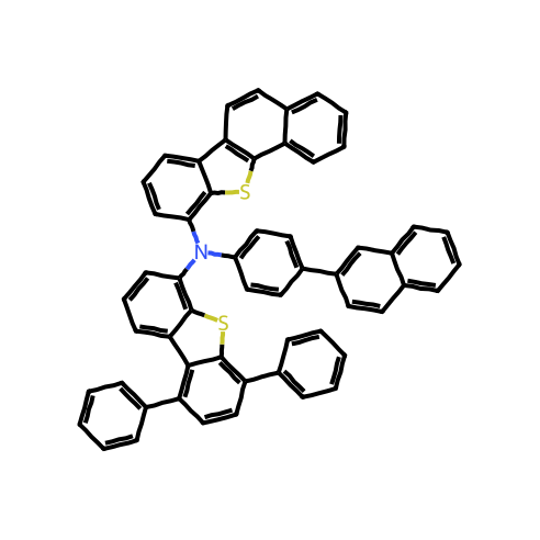 c1ccc(-c2ccc(-c3ccccc3)c3c2sc2c(N(c4ccc(-c5ccc6ccccc6c5)cc4)c4cccc5c4sc4c6ccccc6ccc54)cccc23)cc1